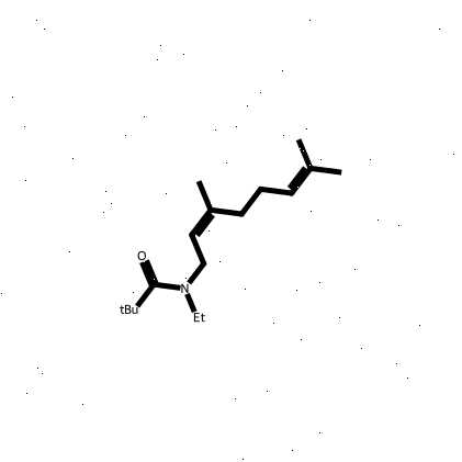 CCN(C/C=C(/C)CCC=C(C)C)C(=O)C(C)(C)C